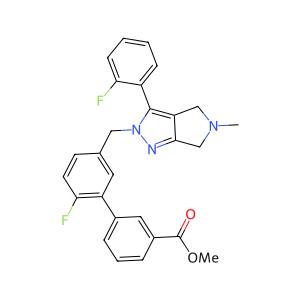 COC(=O)c1cccc(-c2cc(Cn3nc4c(c3-c3ccccc3F)CN(C)C4)ccc2F)c1